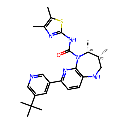 Cc1nc(NC(=O)N2c3nc(-c4cncc(C(C)(C)C)c4)ccc3NC[C@@H](C)[C@H]2C)sc1C